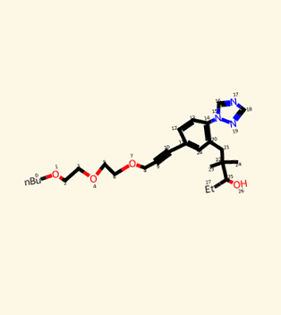 CCCCOCCOCCOCC#Cc1ccc(-n2cncn2)c(CC(C)(C)C(O)CC)c1